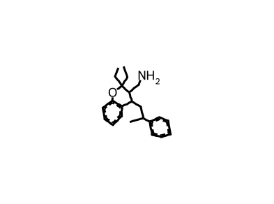 CCC1(CC)Oc2ccccc2C(CC(C)c2ccccc2)C1CN